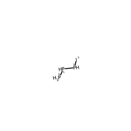 PPPI